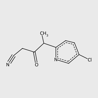 CC(C(=O)CC#N)c1ccc(Cl)cn1